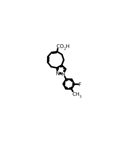 Cc1ccc(-n2cc3c(n2)C/C=C\C=C(\C(=O)O)CC3)cc1F